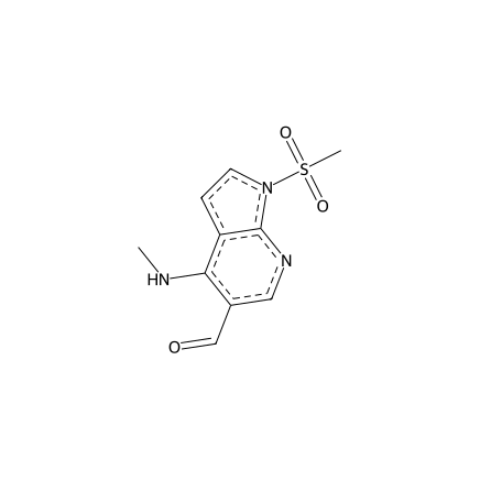 CNc1c(C=O)cnc2c1ccn2S(C)(=O)=O